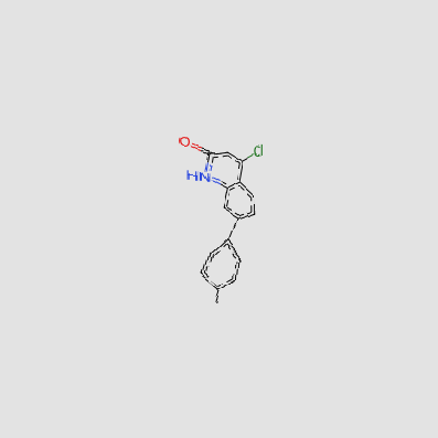 Cc1ccc(-c2ccc3c(Cl)cc(=O)[nH]c3c2)cc1